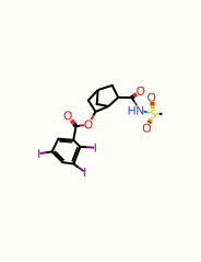 CS(=O)(=O)NC(=O)C1CC2CC(OC(=O)c3cc(I)cc(I)c3I)C1C2